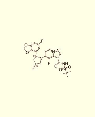 CC(C)(C)S(=O)(=O)NC(=O)c1cnn2ccc(N3C[C@@H](F)C[C@@H]3c3cc(F)cc4c3OCO4)c(F)c12